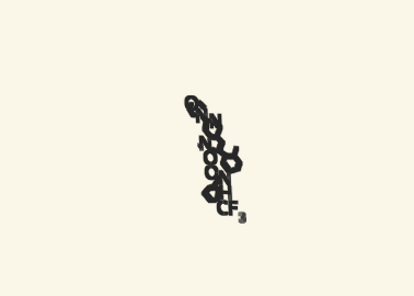 Cc1ccc(NC(=O)c2cccc(C(F)(F)F)c2)cc1-c1cc2cnc(N3CCOCC3)cc2n(C)c1=O